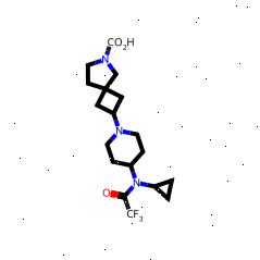 O=C(O)N1CCC2(CC(N3CCC(N(C(=O)C(F)(F)F)C4CC4)CC3)C2)C1